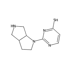 Sc1ccnc(N2CCC3CNCC32)n1